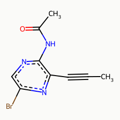 CC#Cc1nc(Br)cnc1NC(C)=O